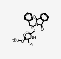 CC(C)C(NC(=O)C[C@H](Cc1ccccc1)N1C(=O)c2ccccc2C1=O)C(=O)OC(C)(C)C